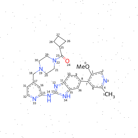 COc1cnc(C)cc1-c1ccc2nc(Nc3cc(CN4CCN(C(=O)C5CCC5)CC4)ccn3)[nH]c2c1